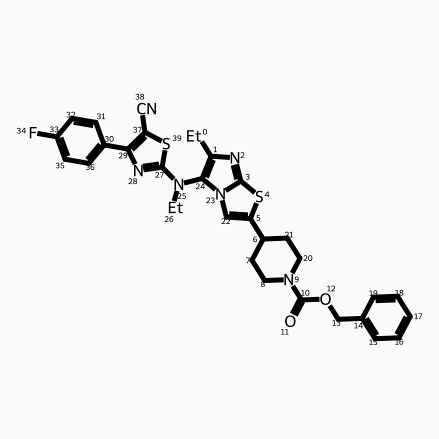 CCc1nc2sc(C3CCN(C(=O)OCc4ccccc4)CC3)cn2c1N(CC)c1nc(-c2ccc(F)cc2)c(C#N)s1